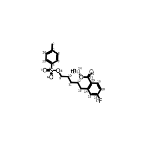 Cc1ccc(S(=O)(=O)OCCCCCc2cc(F)ccc2C(=O)OC(C)(C)C)cc1